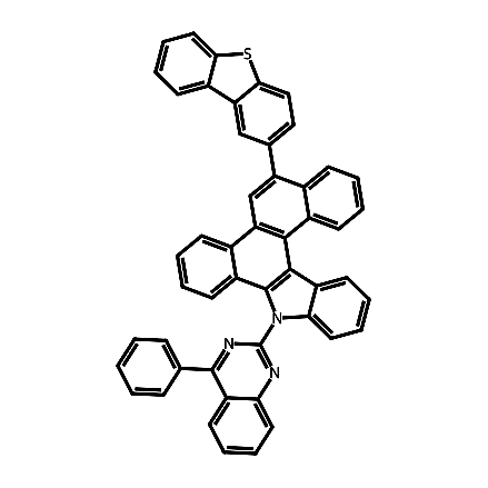 c1ccc(-c2nc(-n3c4ccccc4c4c5c6ccccc6c(-c6ccc7sc8ccccc8c7c6)cc5c5ccccc5c43)nc3ccccc23)cc1